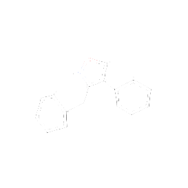 c1ccc(Cc2nocc2-c2ccccc2)cc1